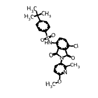 COc1ccc(N2C(=O)c3c(Cl)ccc(NS(=O)(=O)c4ccc(C(C)(C)C)cc4)c3C2=O)c(C)n1